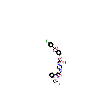 COc1ccccc1-c1cc(CN2CCN(C[C@H](O)COc3ccc4oc(-c5ccc(F)cc5)nc4c3)CC2)on1